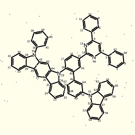 c1ccc(-c2cc(-c3ccccc3)nc(-c3ccc(-n4c5ccccc5c5cc6c7ccccc7n(-c7ccccc7)c6cc54)c(-c4cccc(-n5c6ccccc6c6ccccc65)c4)c3)n2)cc1